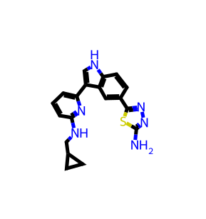 Nc1nnc(-c2ccc3[nH]cc(-c4cccc(NCC5CC5)n4)c3c2)s1